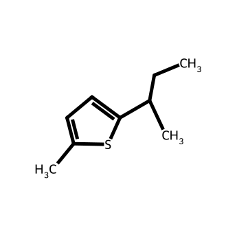 CCC(C)c1ccc(C)s1